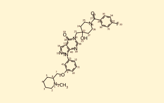 CN1CCCCC1COc1cccc(-n2ncc3c(=O)n(CC4(O)CCN(C(=O)c5ccc(F)cc5)CC4)cnc32)c1